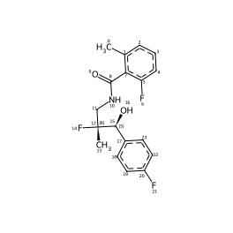 Cc1cccc(F)c1C(=O)NC[C@@](C)(F)[C@@H](O)c1ccc(F)cc1